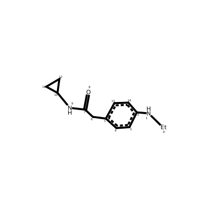 CCNc1ccc(CC(=O)NC2CC2)cc1